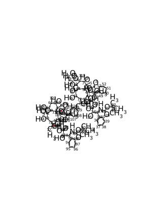 CC(=O)O[C@@]12CO[C@@H]1C[C@H](O)[C@@]1(C)C(=O)[C@H](O)C3=C(C)[C@@H](OC(=O)C(O)[C@@H](NC(=O)OC(C)(C)C)c4ccccc4)C[C@@](O)([C@@H](OC(=O)c4ccccc4)[C@H]21)C3(C)C.CC(=O)O[C@@]12CO[C@@H]1C[C@H](O)[C@@]1(C)C(=O)[C@H](O)C3=C(C)[C@@H](OC(=O)C(O)[C@@H](NC(=O)OC(C)(C)C)c4ccccc4)C[C@@](O)([C@@H](OC(=O)c4ccccc4)[C@H]21)C3(C)C.O.O.O